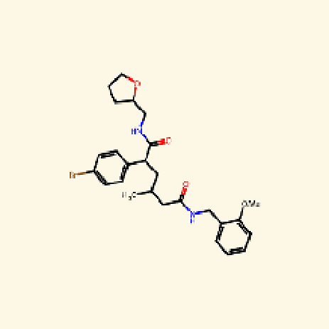 COc1ccccc1CNC(=O)CC(C)CC(C(=O)NCC1CCCO1)c1ccc(Br)cc1